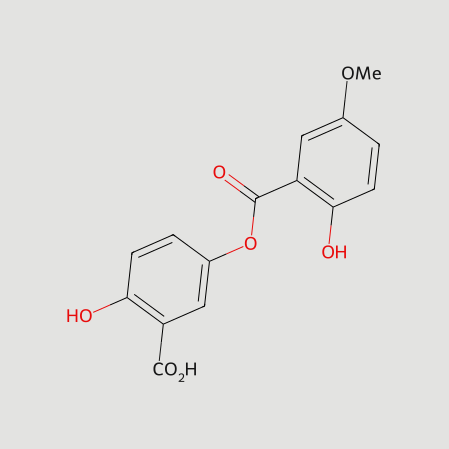 COc1ccc(O)c(C(=O)Oc2ccc(O)c(C(=O)O)c2)c1